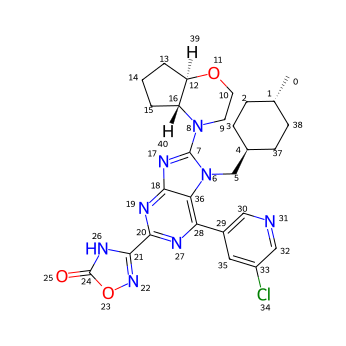 C[C@H]1CC[C@H](Cn2c(N3CCO[C@@H]4CCC[C@H]43)nc3nc(-c4noc(=O)[nH]4)nc(-c4cncc(Cl)c4)c32)CC1